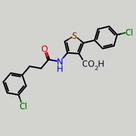 O=C(CCc1cccc(Cl)c1)Nc1csc(-c2ccc(Cl)cc2)c1C(=O)O